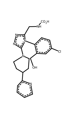 O=C(O)NCc1nnc(N2CCC(c3ccccn3)CC2)n1-c1ccc(Cl)cc1CO